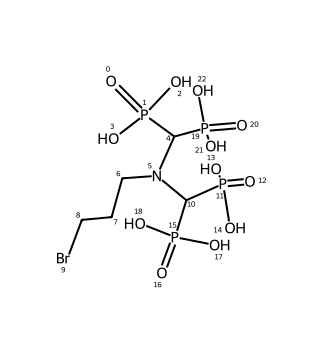 O=P(O)(O)C(N(CCCBr)C(P(=O)(O)O)P(=O)(O)O)P(=O)(O)O